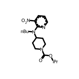 CCCCN(c1ncccc1[N+](=O)[O-])C1CCN(C(=O)OC(C)C)CC1